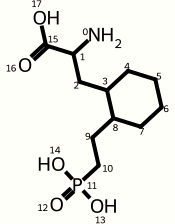 NC(CC1CCCCC1CCP(=O)(O)O)C(=O)O